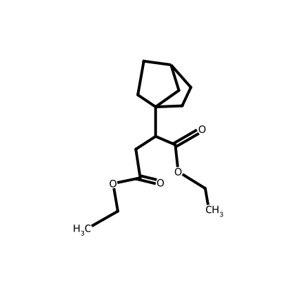 CCOC(=O)CC(C(=O)OCC)C12CCC(CC1)C2